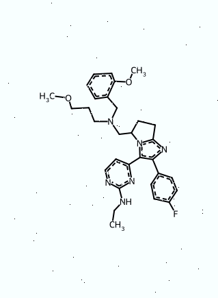 CCNc1nccc(-c2c(-c3ccc(F)cc3)nc3n2C(CN(CCCOC)Cc2ccccc2OC)CC3)n1